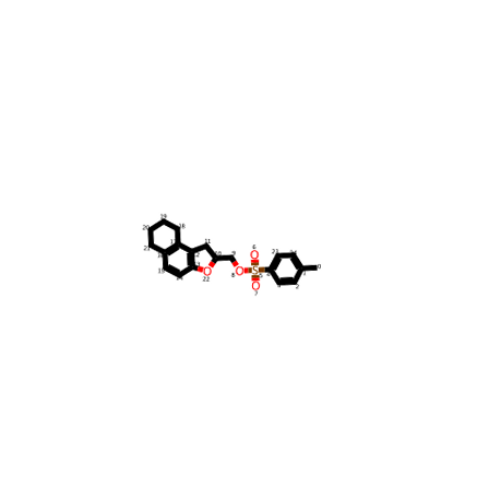 Cc1ccc(S(=O)(=O)OCC2Cc3c(ccc4c3CCCC4)O2)cc1